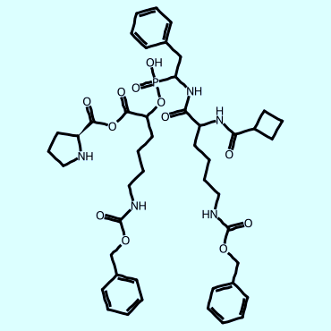 O=C(NCCCCC(NC(=O)C1CCC1)C(=O)NC(Cc1ccccc1)P(=O)(O)OC(CCCCNC(=O)OCc1ccccc1)C(=O)OC(=O)[C@@H]1CCCN1)OCc1ccccc1